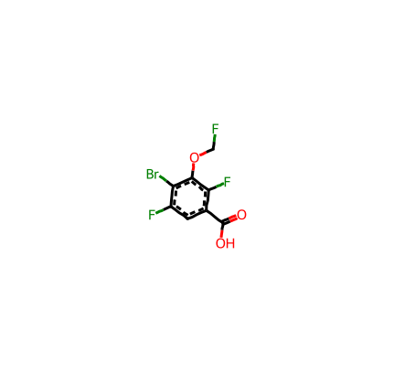 O=C(O)c1cc(F)c(Br)c(OCF)c1F